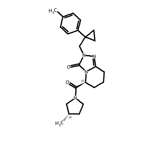 Cc1ccc(C2(Cn3nc4n(c3=O)[C@H](C(=O)N3CC[C@H](C)C3)CCC4)CC2)cc1